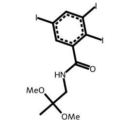 COC(C)(CNC(=O)c1cc(I)cc(I)c1I)OC